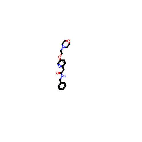 O=C(Cc1ccc(OCCN2CCOCC2)cn1)NCc1ccccc1